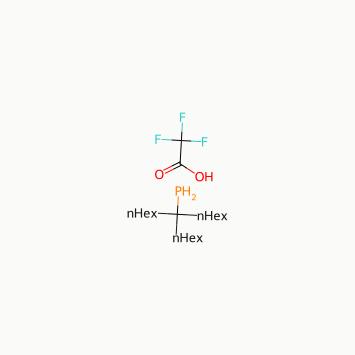 CCCCCCC(P)(CCCCCC)CCCCCC.O=C(O)C(F)(F)F